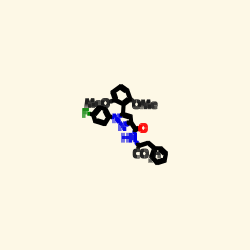 COc1cccc(OC)c1-c1cc(C(=O)N[C@@H](Cc2ccccc2)C(=O)O)nn1-c1ccc(F)cc1